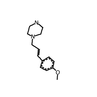 COc1ccc(/C=C/CN2CC[N]CC2)cc1